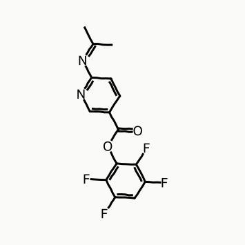 CC(C)=Nc1ccc(C(=O)Oc2c(F)c(F)cc(F)c2F)cn1